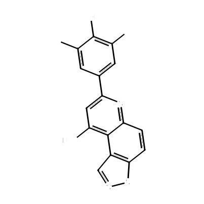 Cc1cc(-c2cc(C)c3c(ccc4[nH]ncc43)n2)cc(I)c1O